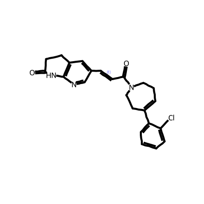 O=C1CCc2cc(/C=C/C(=O)N3CCC=C(c4ccccc4Cl)CC3)cnc2N1